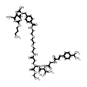 CCCCOc1nc(N)c2nc(O)n(Cc3ccc(C(=O)NCCOCCOCCNC(=O)CC[C@@H](NC(=O)[C@@H](NC(=O)CNC(=O)/C=C/c4ccc(C(C)C)cc4)C(C)C)C(=O)OCC)cc3)c2n1